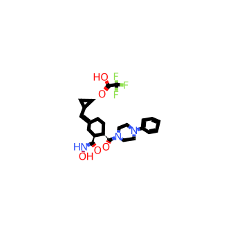 O=C(NO)[C@H]1CC(=CC2CC2)CC[C@@H]1C(=O)N1CCN(c2ccccc2)CC1.O=C(O)C(F)(F)F